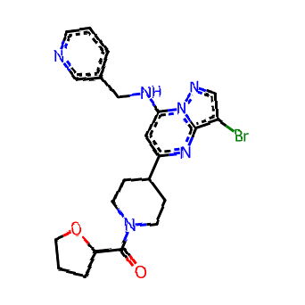 O=C(C1CCCO1)N1CCC(c2cc(NCc3cccnc3)n3ncc(Br)c3n2)CC1